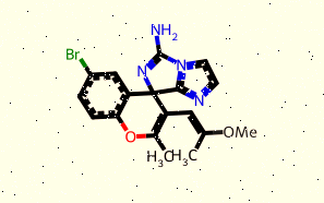 CO/C(C)=C/C1=C(C)Oc2ccc(Br)cc2C12N=C(N)n1ccnc12